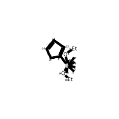 CC[O][Ti]([CH3])([CH3])([CH3])([CH3])([CH3])([CH3])([O]CC)[C]1=CC=CC1